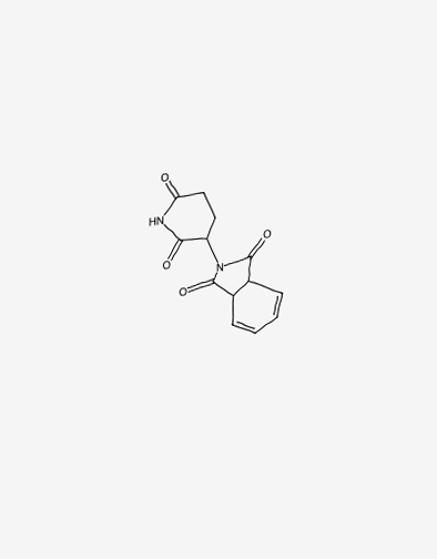 O=C1CCC(N2C(=O)C3C=CC=CC3C2=O)C(=O)N1